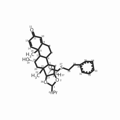 CCCC1O[C@@H]2CC3C4CCC5=CC(=O)C=CC5(C)C4[C@@H](O)CC3(C)[C@]2(C(=O)CSCCc2ccccc2)O1